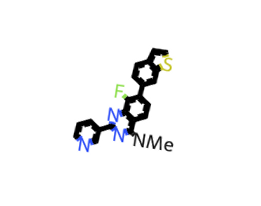 CNc1nc(-c2cccnc2)nc2c(F)c(-c3ccc4ccsc4c3)ccc12